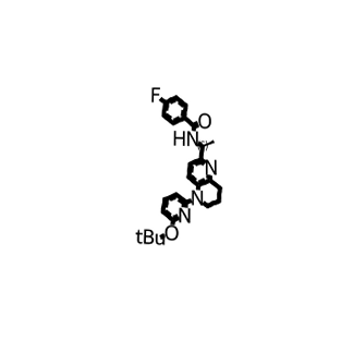 C[C@H](NC(=O)c1ccc(F)cc1)c1ccc2c(n1)CCCN2c1cccc(OC(C)(C)C)n1